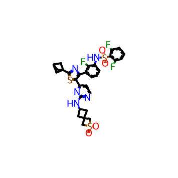 O=S1(=O)CC2(CC(Nc3nccc(-c4sc(C56CC(C5)C6)nc4-c4cccc(NS(=O)(=O)c5c(F)cccc5F)c4F)n3)C2)C1